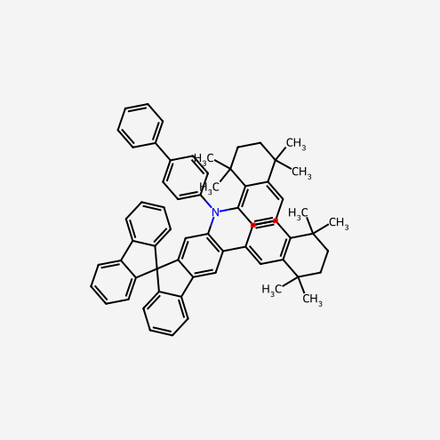 CC1(C)CCC(C)(C)c2cc(-c3cc4c(cc3N(c3ccc(-c5ccccc5)cc3)c3cccc5c3C(C)(C)CCC5(C)C)C3(c5ccccc5-c5ccccc53)c3ccccc3-4)ccc21